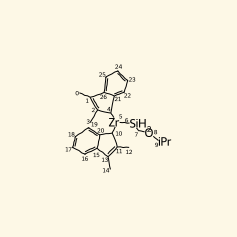 CC1=C(C)[CH]([Zr]([SiH2]COC(C)C)[CH]2C(C)=C(C)c3ccccc32)c2ccccc21